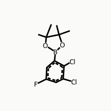 CC1(C)OB(c2cc(F)cc(Cl)c2Cl)OC1(C)C